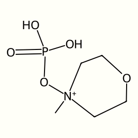 C[N+]1(OP(=O)(O)O)CCOCC1